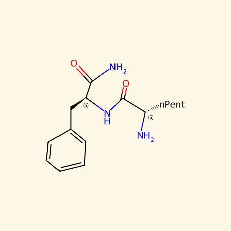 CCCCC[C@H](N)C(=O)N[C@@H](Cc1ccccc1)C(N)=O